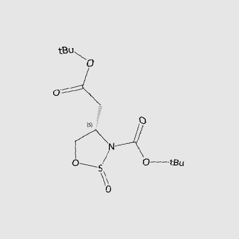 CC(C)(C)OC(=O)C[C@H]1COS(=O)N1C(=O)OC(C)(C)C